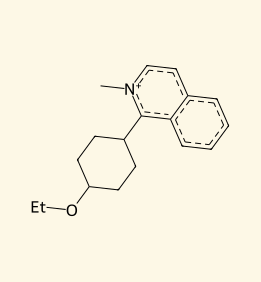 CCOC1CCC(c2c3ccccc3cc[n+]2C)CC1